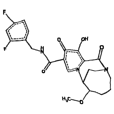 COC1CCCN2CC1n1cc(C(=O)NCc3ccc(F)cc3F)c(=O)c(O)c1C2=O